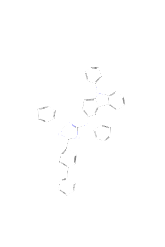 c1ccc(-c2ccc(C3NC(n4c5ccccc5c5c6c7ccccc7n(-c7ccccc7)c6ccc54)=NC(c4ccccc4)N3)cc2)cc1